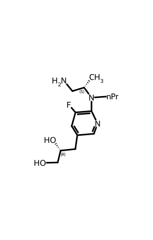 CCCN(c1ncc(C[C@@H](O)CO)cc1F)[C@@H](C)CN